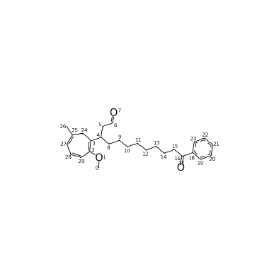 COC1=C(C(CC=O)CCCCCCCCC(=O)c2ccccc2)CC(C)=CC=C1